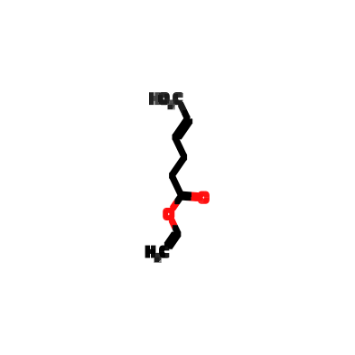 C=COC(=O)CC/C=C/C(=O)O